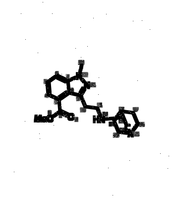 COC(=O)c1cccc2c1c(CCNC1CN3CCC1CC3)nn2C